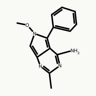 COn1cc2nc(C)nc(N)c2c1-c1ccccc1